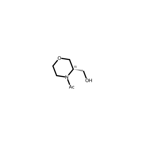 CC(=O)N1CCOC[C@@H]1CO